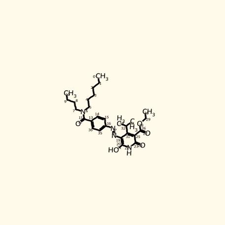 CCCCCCN(CCCC)C(=O)c1ccc(/N=N/c2c(O)[nH]c(=O)c(C(=O)OCC)c2C(C)C)cc1